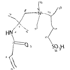 C=CC(=O)NC(C)(C)C[N+](C)(C)C(C)CCS(=O)(=O)O